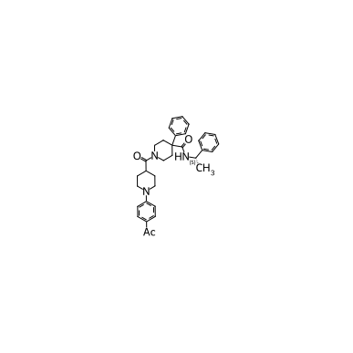 CC(=O)c1ccc(N2CCC(C(=O)N3CCC(C(=O)N[C@@H](C)c4ccccc4)(c4ccccc4)CC3)CC2)cc1